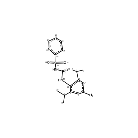 CC(C)c1cc(Cl)cc(C(C)C)c1NC(=O)NS(=O)(=O)c1ccncn1